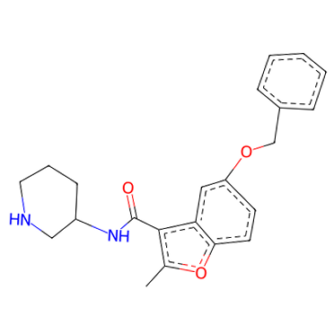 Cc1oc2ccc(OCc3ccccc3)cc2c1C(=O)NC1CCCNC1